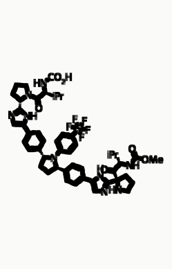 COC(=O)N[C@H](C(=O)[C@@]1(c2ncc(-c3ccc([C@H]4CC[C@H](c5ccc(-c6cnc([C@@H]7CCCN7C(=O)[C@@H](NC(=O)O)C(C)C)[nH]6)cc5)N4c4ccc(S(F)(F)(F)(F)F)cc4)cc3)[nH]2)CCCN1)C(C)C